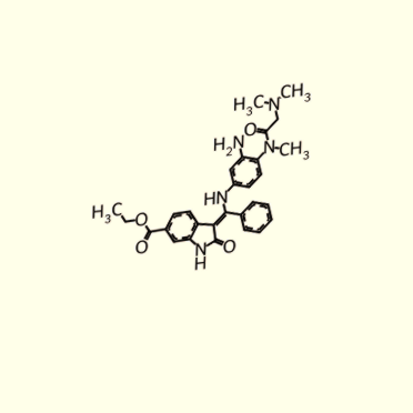 CCOC(=O)c1ccc2c(c1)NC(=O)/C2=C(/Nc1ccc(N(C)C(=O)CN(C)C)c(N)c1)c1ccccc1